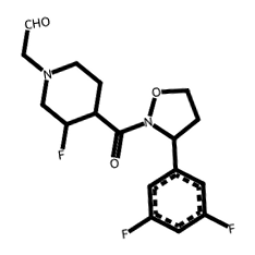 O=CCN1CCC(C(=O)N2OCCC2c2cc(F)cc(F)c2)C(F)C1